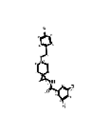 O=C(NC1CC12CCN(CCc1ccc(F)cc1)CC2)c1cc(Cl)cc(Cl)c1